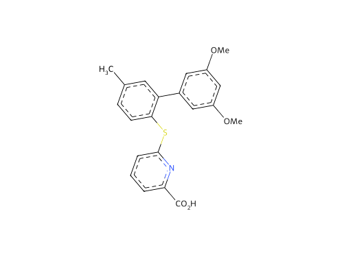 COc1cc(OC)cc(-c2cc(C)ccc2Sc2cccc(C(=O)O)n2)c1